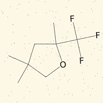 CC1(C)COC(C)(C(F)(F)F)C1